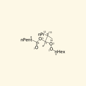 CCCCCCOOC(C)(OC(=O)CCCCC)C(C)(C)CCC